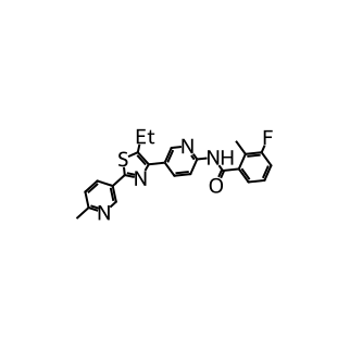 CCc1sc(-c2ccc(C)nc2)nc1-c1ccc(NC(=O)c2cccc(F)c2C)nc1